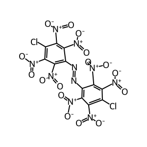 O=[N+]([O-])c1c(Cl)c([N+](=O)[O-])c([N+](=O)[O-])c(/N=N/c2c([N+](=O)[O-])c([N+](=O)[O-])c(Cl)c([N+](=O)[O-])c2[N+](=O)[O-])c1[N+](=O)[O-]